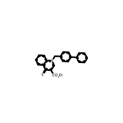 CCOC(=O)c1cn(Cc2ccc(-c3ccccc3)cc2)c2ccccc2c1=S